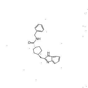 O=C(NCc1ccccc1)[C@H]1CC[C@H](Cc2nc3ccccc3[nH]2)CC1